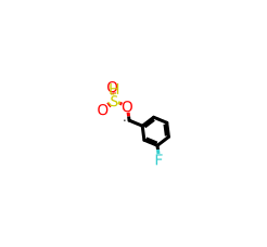 O=[SH](=O)O[CH]c1cccc(F)c1